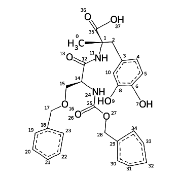 C[C@@](Cc1ccc(O)c(O)c1)(NC(=O)[C@H](COCc1ccccc1)NC(=O)OCc1ccccc1)C(=O)O